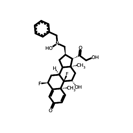 C[C@]12C[C@H](O)[C@@]3(F)[C@@H](C[C@H](F)C4=CC(=O)C=C[C@@]43C)C1C[C@@H](CN(O)Cc1ccccc1)[C@@H]2C(=O)CO